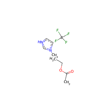 CCOC(C)=O.Cn1cc[nH+]c1.F[B-](F)(F)F